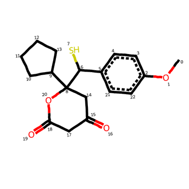 COc1ccc(C(S)C2(C3CCCC3)CC(=O)CC(=O)O2)cc1